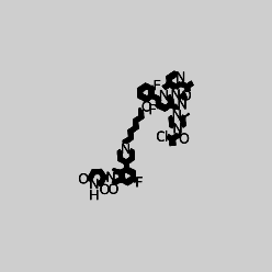 C=C(Cl)C(=O)N1CCN(c2nc(=O)n(-c3c(C)ccnc3C(C)C)c3nc(-c4c(F)cccc4OCCCCCCCN4CCC(c5cc(F)cc6c5CN(C5CCC(=O)NC5=O)C6=O)CC4)c(F)cc23)[C@@H](C)C1